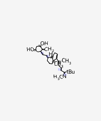 C=C1/C(=C\C=C2/CCC[C@]3(C)C([C@H](C)C/C=C/C(=N\C)C(C)(C)C)=CC[C@@H]23)C[C@@H](O)C[C@@H]1O